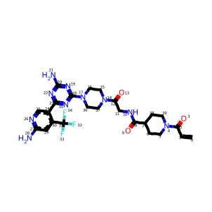 C=CC(=O)N1CCC(C(=O)NCC(=O)N2CCN(c3nc(N)nc(-c4cnc(N)cc4C(F)(F)F)n3)CC2)CC1